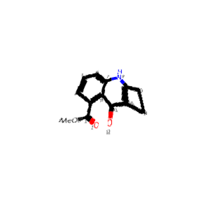 COC(=O)c1cccc2[nH]c3c(c(=O)c12)CC3